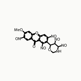 COc1cc2oc3cc(N=O)c(C4OCNC(N=O)C4N=O)c(N=O)c3c(=O)c2cc1N=O